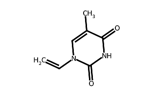 C=Cn1cc(C)c(=O)[nH]c1=O